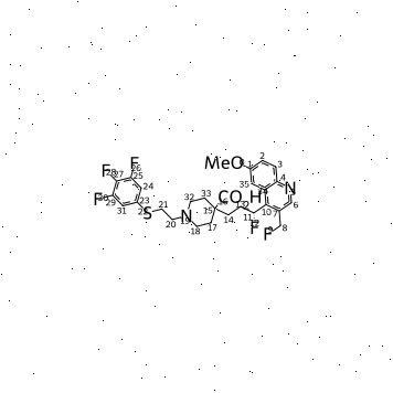 COc1ccc2ncc(CF)c([C@H](F)CCC3(C(=O)O)CCN(CCSc4cc(F)c(F)c(F)c4)CC3)c2c1